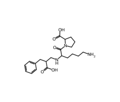 NCCCCC(NCC(Cc1ccccc1)C(=O)O)C(=O)N1CCCC1C(=O)O